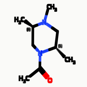 CC(=O)N1C[C@@H](C)N(C)C[C@@H]1C